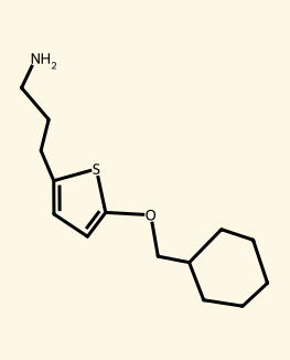 NCCCc1ccc(OCC2CCCCC2)s1